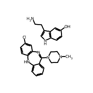 CN1CCN(C2=Nc3cc(Cl)ccc3Nc3ccccc32)CC1.NCCc1c[nH]c2ccc(O)cc12